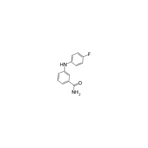 NC(=O)c1cccc(Nc2ccc(F)cc2)c1